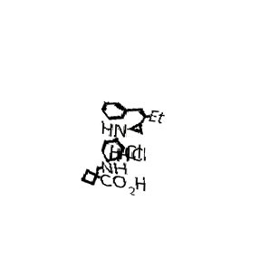 CCC(=Cc1ccccc1)C1C[C@@H]1NC1CCC(NCC2(C(=O)O)CCC2)CC1.Cl.Cl